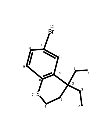 CCC1(CC)CCSc2ccc(Br)cc21